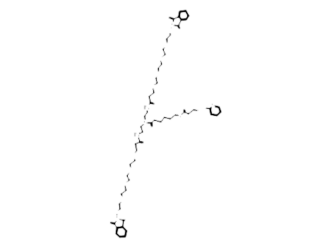 O=C(CCOCCOCCOCCOCCON1C(=O)c2ccccc2C1=O)NCCN(CCNC(=O)CCOCCOCCOCCOCCON1C(=O)c2ccccc2C1=O)C(=O)CCCCCNC(=O)CCSSc1ccccn1